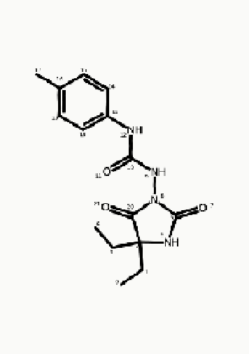 CCC1(CC)NC(=O)N(NC(=O)Nc2ccc(C)cc2)C1=O